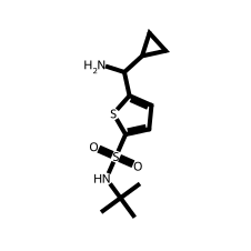 CC(C)(C)NS(=O)(=O)c1ccc(C(N)C2CC2)s1